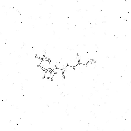 C=CC(=O)OCC(=O)OC1C2=CC3C(C2)OS(=O)(=O)C13